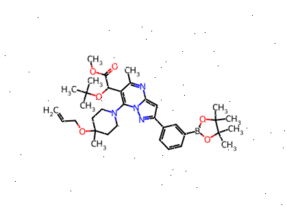 C=CCOC1(C)CCN(c2c(C(OC(C)(C)C)C(=O)OC)c(C)nc3cc(-c4cccc(B5OC(C)(C)C(C)(C)O5)c4)nn23)CC1